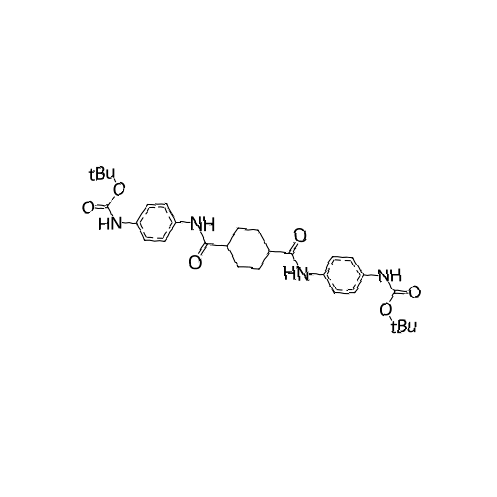 CC(C)(C)OC(=O)Nc1ccc(NC(=O)C2CCC(C(=O)Nc3ccc(NC(=O)OC(C)(C)C)cc3)CC2)cc1